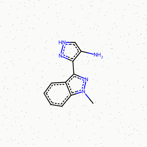 Cn1nc(-c2n[nH]cc2N)c2ccccc21